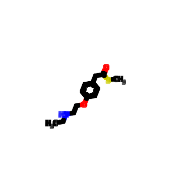 CCNCCOc1ccc(CC(=O)SC)cc1